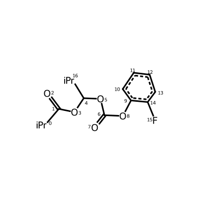 CC(C)C(=O)OC(OC(=O)Oc1ccccc1F)C(C)C